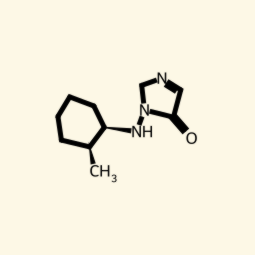 C[C@H]1CCCC[C@H]1NN1CN=CC1=O